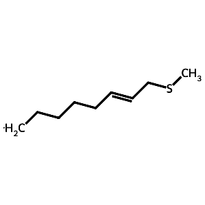 [CH2]CCCC/C=C/CSC